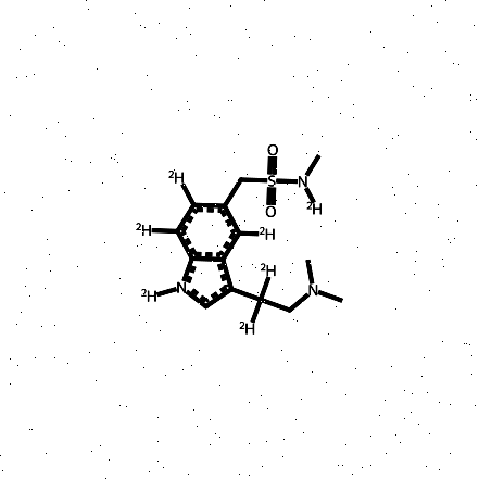 [2H]c1c(CS(=O)(=O)N([2H])C)c([2H])c2c(C([2H])([2H])CN(C)C)cn([2H])c2c1[2H]